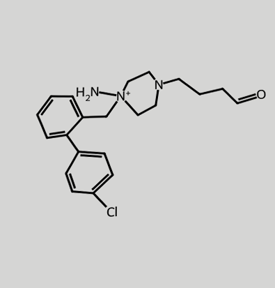 N[N+]1(Cc2ccccc2-c2ccc(Cl)cc2)CCN(CCCC=O)CC1